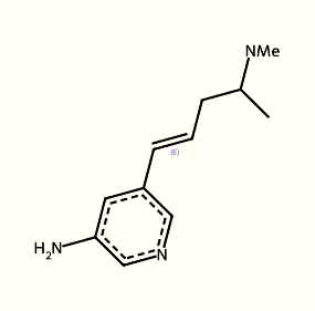 CNC(C)C/C=C/c1cncc(N)c1